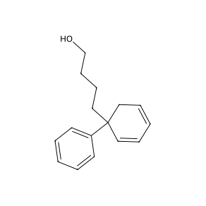 OCCCCC1(c2ccccc2)C=CC=CC1